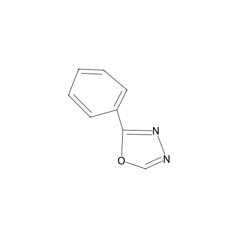 c1ccc(-c2nnco2)cc1